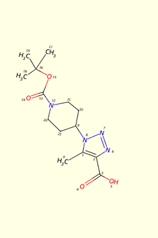 Cc1c(C(=O)O)nnn1C1CCN(C(=O)OC(C)(C)C)CC1